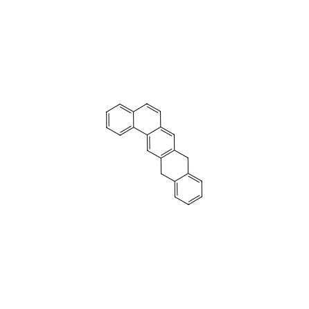 c1ccc2c(c1)Cc1cc3ccc4ccccc4c3cc1C2